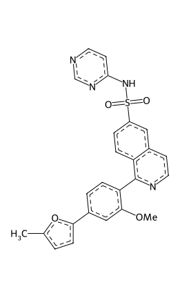 COc1cc(-c2ccc(C)o2)ccc1-c1nccc2cc(S(=O)(=O)Nc3ccncn3)ccc12